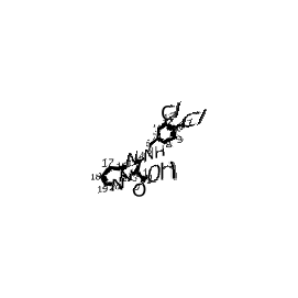 O=C(O)c1c(NCc2ccc(Cl)c(Cl)c2)nc2cccnn12